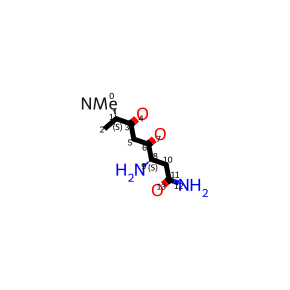 CN[C@@H](C)C(=O)CC(=O)[C@@H](N)CC(N)=O